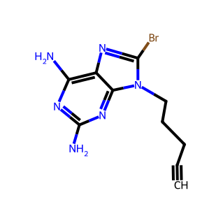 C#CCCCn1c(Br)nc2c(N)nc(N)nc21